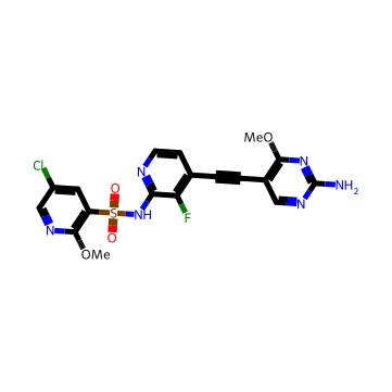 COc1nc(N)ncc1C#Cc1ccnc(NS(=O)(=O)c2cc(Cl)cnc2OC)c1F